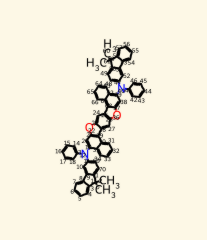 CC1(C)c2ccccc2-c2cc(N(c3ccccc3)c3cc4oc5cc6c(cc5c4c4ccccc34)oc3cc(N(c4ccccc4)c4ccc5c(c4)-c4ccccc4C5(C)C)c4ccccc4c36)ccc21